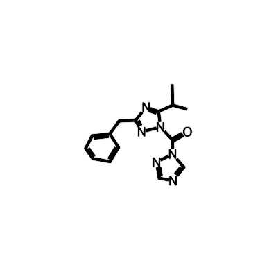 CC(C)c1nc(Cc2ccccc2)nn1C(=O)n1cncn1